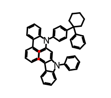 c1ccc(-c2ccccc2N(c2ccc(C3(c4ccccc4)CCCCC3)cc2)c2ccc3c4ccccc4n(-c4ccccc4)c3c2)cc1